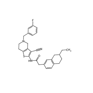 CCC1CCc2ccc(CC(=O)Nc3sc4c(c3C#N)CN(Cc3cccc(F)c3)CC4)cc2C1